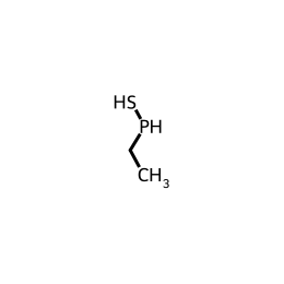 CCPS